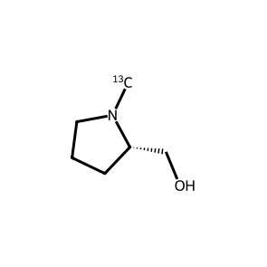 [13CH3]N1CCC[C@H]1CO